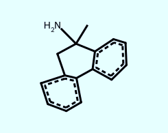 CC1(N)Cc2ccccc2-c2ccccc21